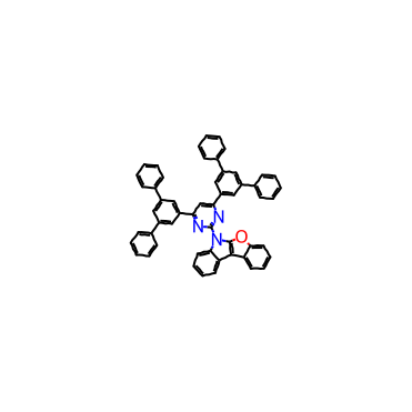 c1ccc(-c2cc(-c3ccccc3)cc(-c3cc(-c4cc(-c5ccccc5)cc(-c5ccccc5)c4)nc(-n4c5ccccc5c5c6ccccc6oc54)n3)c2)cc1